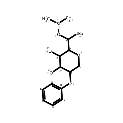 C[SiH](C)OC(C1OCC(Sc2ccccc2)C(O)C1O)C(C)(C)C